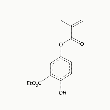 C=C(C)C(=O)Oc1ccc(O)c(C(=O)OCC)c1